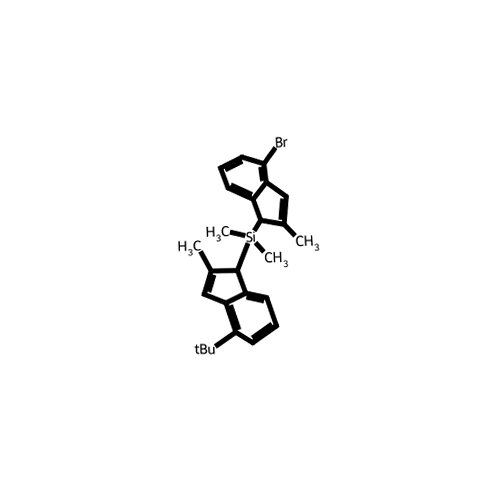 CC1=Cc2c(Br)cccc2C1[Si](C)(C)C1C(C)=Cc2c1cccc2C(C)(C)C